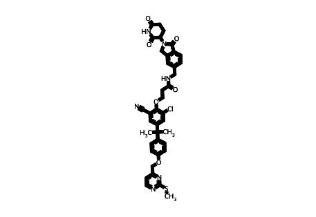 CSc1nccc(COc2ccc(C(C)(C)c3cc(Cl)c(OCCC(=O)NCc4ccc5c(c4)CN(C4CCC(=O)NC4=O)C5=O)c(C#N)c3)cc2)n1